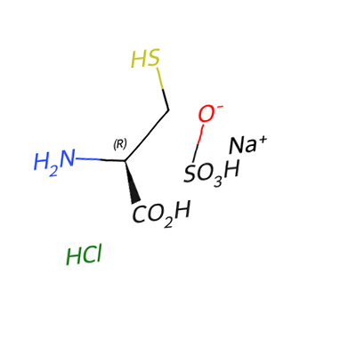 Cl.N[C@@H](CS)C(=O)O.O=S(=O)([O-])O.[Na+]